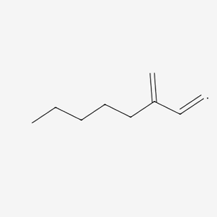 [CH]=CC(=C)CCCCC